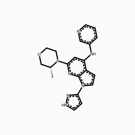 C[C@@H]1COCCN1c1cc(Nc2cccnc2)c2ccn(-c3cc[nH]n3)c2n1